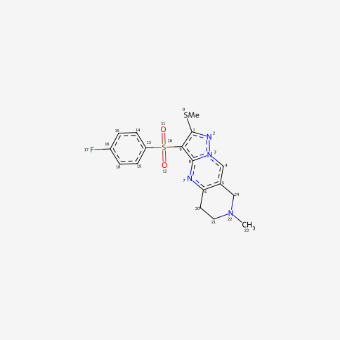 CSc1nn2cc3c(nc2c1S(=O)(=O)c1ccc(F)cc1)CCN(C)C3